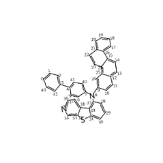 c1ccc(-c2ccc(N(c3ccc4ccc5c6ccccc6ccc5c4c3)c3cccc4sc5cnccc5c34)cc2)cc1